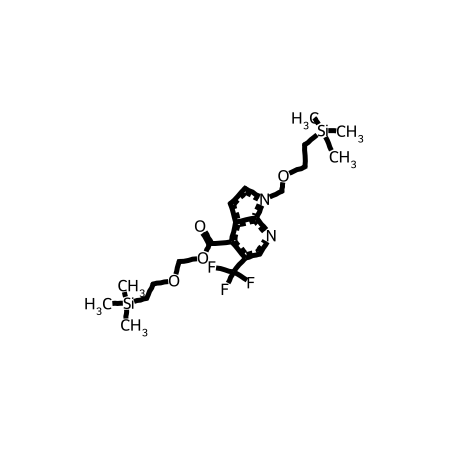 C[Si](C)(C)CCOCOC(=O)c1c(C(F)(F)F)cnc2c1ccn2COCC[Si](C)(C)C